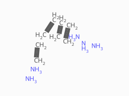 C=C.C=C.C=C.C=C.N.N.N.N.N